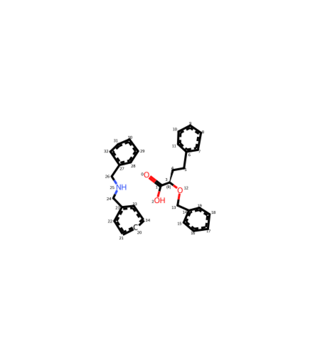 O=C(O)[C@@H](CCc1ccccc1)OCc1ccccc1.c1ccc(CNCc2ccccc2)cc1